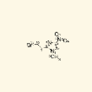 Cn1cc([N+](=O)[O-])nc1CCBr